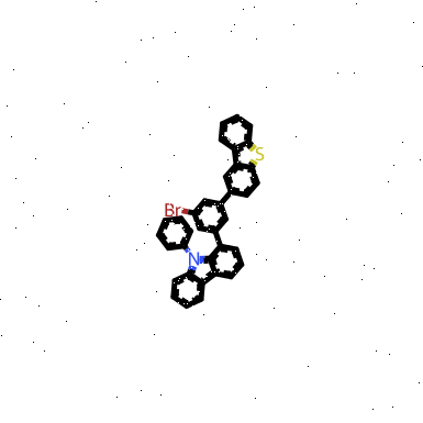 Brc1cc(-c2ccc3sc4ccccc4c3c2)cc(-c2cccc3c4ccccc4n(-c4ccccc4)c23)c1